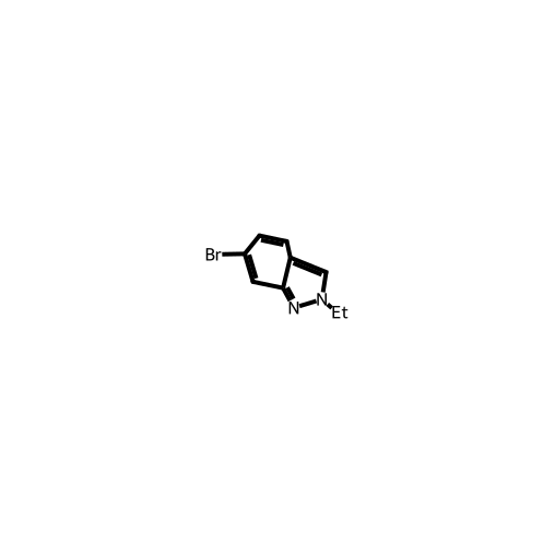 CCn1cc2ccc(Br)cc2n1